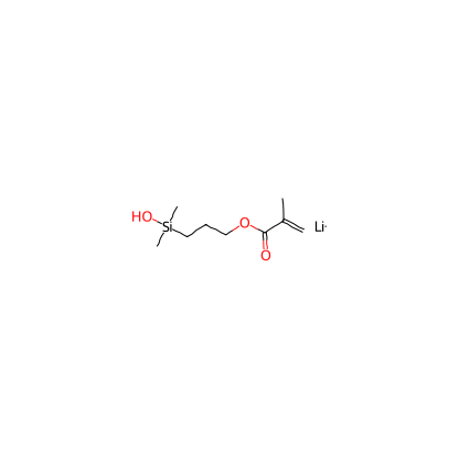 C=C(C)C(=O)OCCC[Si](C)(C)O.[Li]